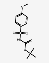 COc1ccc(S(=O)(=O)NC(=O)OC(C)(C)C)cc1